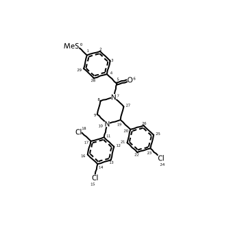 CSc1ccc(C(=O)N2CCN(c3ccc(Cl)cc3Cl)C(c3ccc(Cl)cc3)C2)cc1